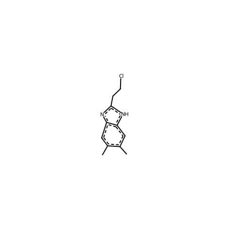 Cc1cc2nc(CCCl)[nH]c2cc1C